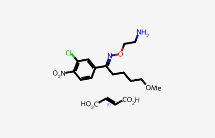 COCCCCC(=NOCCN)c1ccc([N+](=O)[O-])c(Cl)c1.O=C(O)/C=C/C(=O)O